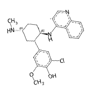 CN[C@@H]1CC[C@@H](Nc2[c]cnc3ccccc23)C(c2cc(Cl)c(O)c(OC)c2)C1